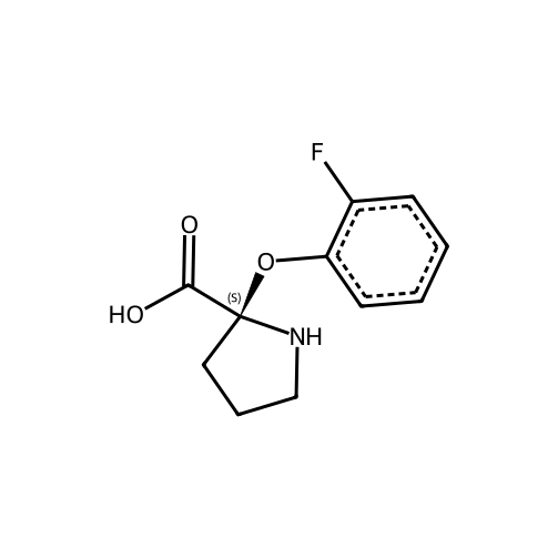 O=C(O)[C@@]1(Oc2ccccc2F)CCCN1